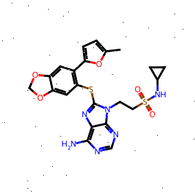 Cc1ccc(-c2cc3c(cc2Sc2nc4c(N)ncnc4n2CCS(=O)(=O)NC2CC2)OCO3)o1